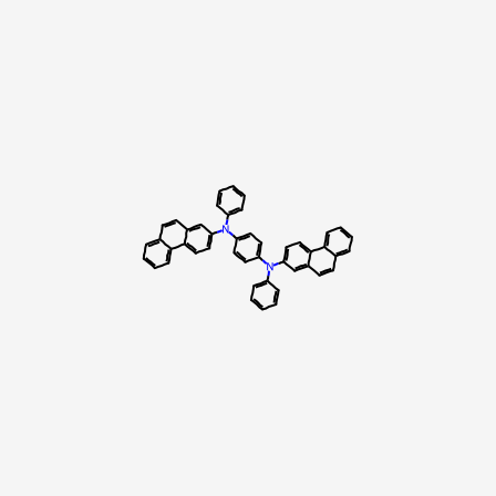 c1ccc(N(c2ccc(N(c3ccccc3)c3ccc4c(ccc5ccccc54)c3)cc2)c2ccc3c(ccc4ccccc43)c2)cc1